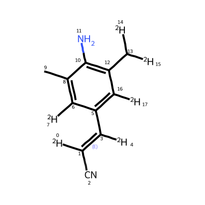 [2H]/C(C#N)=C(/[2H])c1c([2H])c(C)c(N)c(C([2H])[2H])c1[2H]